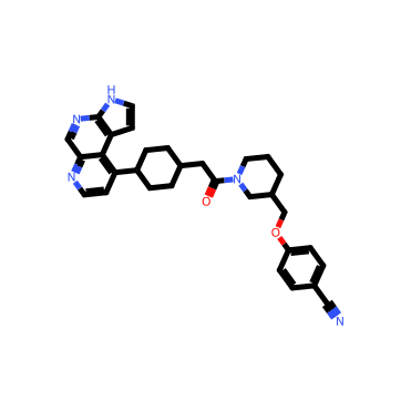 N#Cc1ccc(OCC2CCCN(C(=O)CC3CCC(c4ccnc5cnc6[nH]ccc6c45)CC3)C2)cc1